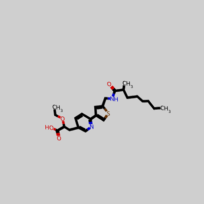 CCCCCCC(C)C(=O)NCc1cc(-c2ccc(CC(OCC)C(=O)O)cn2)cs1